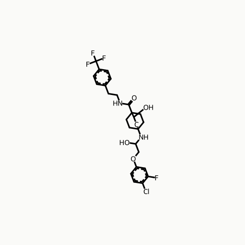 O=C(NCCc1ccc(C(F)(F)F)cc1)C12CCC(NC(O)COc3ccc(Cl)c(F)c3)(CC1)CC2O